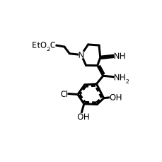 CCOC(=O)CCN1CCC(=N)/C(=C(\N)c2cc(Cl)c(O)cc2O)C1